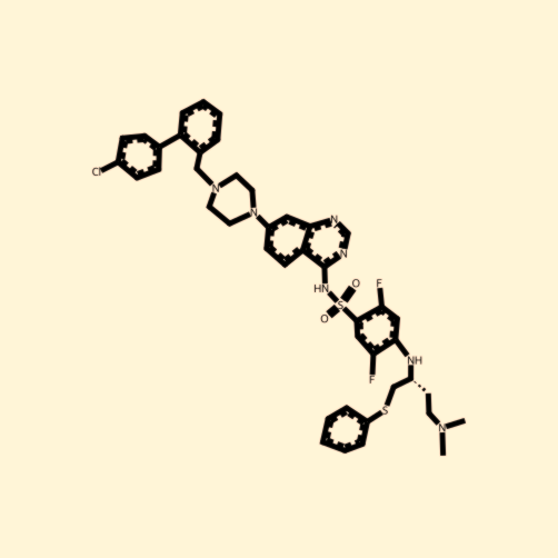 CN(C)CC[C@H](CSc1ccccc1)Nc1cc(F)c(S(=O)(=O)Nc2ncnc3cc(N4CCN(Cc5ccccc5-c5ccc(Cl)cc5)CC4)ccc23)cc1F